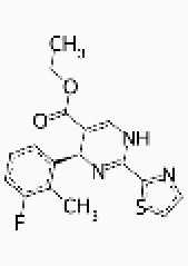 CCOC(=O)C1=CNC(c2nccs2)=N[C@H]1c1cccc(F)c1C